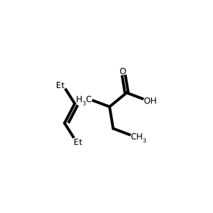 CCC(C)C(=O)O.CCC=CCC